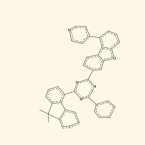 CC1(C)c2ccccc2-c2c(-c3nc(-c4ccccc4)nc(-c4ccc5c(c4)oc4cccc(-c6ccncc6)c45)n3)cccc21